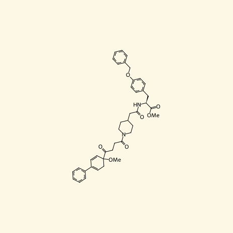 COC(=O)[C@H](Cc1ccc(OCc2ccccc2)cc1)NC(=O)CC1CCN(C(=O)CCC(=O)C2(OC)C=CC(c3ccccc3)=CC2)CC1